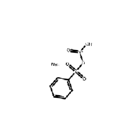 O=[N+](O)OS(=O)(=O)c1ccccc1.[NaH]